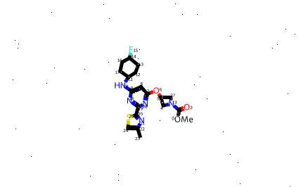 COC(=O)N1CC(Oc2cc(NC3CCC(F)CC3)nc(-c3nc(C)cs3)n2)C1